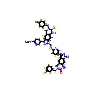 COc1ccc(-c2nn(COc3ccc(-c4n[nH]c5cc6c(cc45)CN(Cc4cccc(Cl)c4)C(=O)N6)cn3)c3cc4c(cc23)CN(Cc2ccc(F)cc2)C(=O)N4)cn1